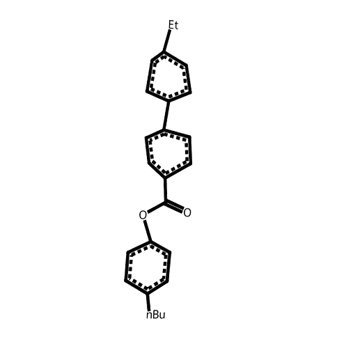 CCCCc1ccc(OC(=O)c2ccc(-c3ccc(CC)cc3)cc2)cc1